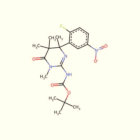 CN1C(=O)C(C)(C)C(C)(c2cc([N+](=O)[O-])ccc2F)N=C1NC(=O)OC(C)(C)C